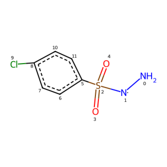 N[N]S(=O)(=O)c1ccc(Cl)cc1